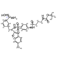 COc1ccc2nc(C(Cc3cccc(/C(N)=N\O)c3)NS(=O)(=O)c3ccc(NC(=O)CCCNC(=O)OC(C)(C)C)cc3)sc2c1